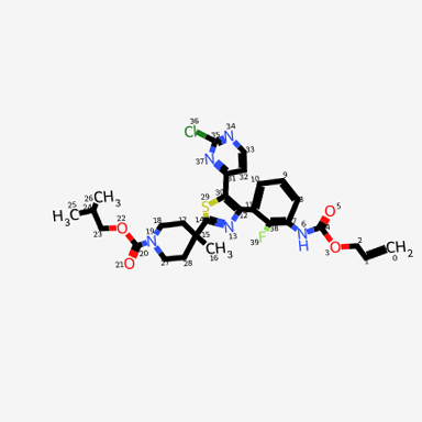 C=CCOC(=O)Nc1cccc(-c2nc(C3(C)CCN(C(=O)OCC(C)C)CC3)sc2-c2ccnc(Cl)n2)c1F